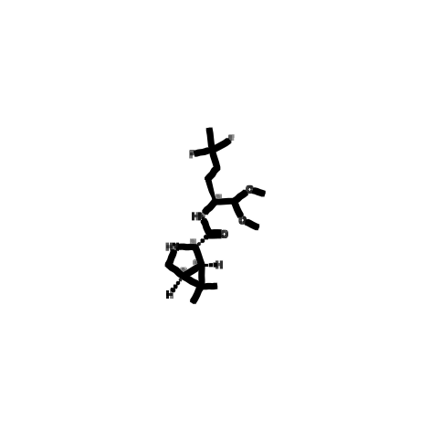 COC(OC)[C@H](CCC(C)(F)F)NC(=O)[C@H]1NC[C@H]2[C@@H]1C2(C)C